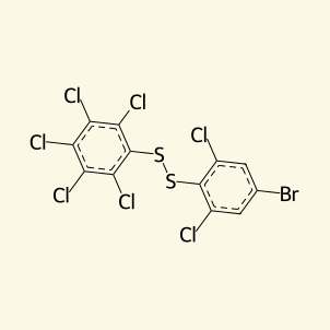 Clc1cc(Br)cc(Cl)c1SSc1c(Cl)c(Cl)c(Cl)c(Cl)c1Cl